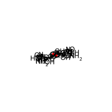 CBP(=O)(OP(=O)(O)OC[C@H]1O[C@@H](n2cnc3c(=O)[nH]c(N)nc32)[C@@H](O)C1O)OP(=O)(O)OC[C@H]1O[C@@H](n2cnc3c(=O)[nH]c(N)nc32)C(O)[C@H]1O